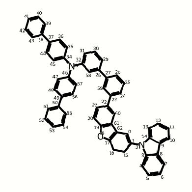 C1=C(n2c3ccccc3c3ccccc32)CCc2oc3ccc(-c4cccc(-c5cccc(N(c6ccc(-c7ccccc7)cc6)c6ccc(-c7ccccc7)cc6)c5)c4)cc3c21